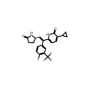 O=C1CC[C@H](/C=C(\c2ccc(F)c(C(F)(F)F)c2)c2ccc(C3CC3)c(=O)[nH]2)N1